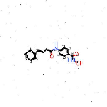 O=C(C/C=C/c1ccccc1)Nc1ccc(C(=O)NO)cc1